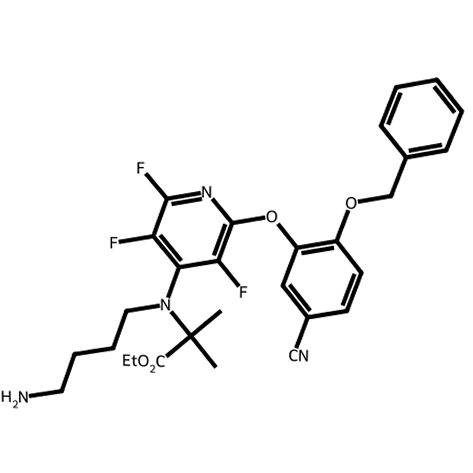 CCOC(=O)C(C)(C)N(CCCCN)c1c(F)c(F)nc(Oc2cc(C#N)ccc2OCc2ccccc2)c1F